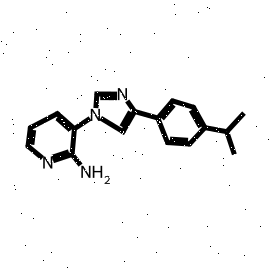 CC(C)c1ccc(-c2cn(-c3cccnc3N)cn2)cc1